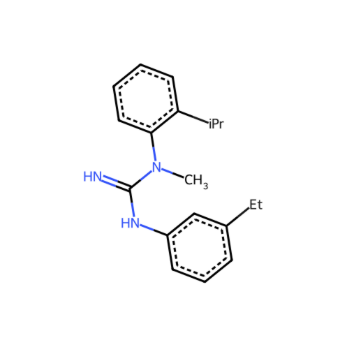 CCc1cccc(NC(=N)N(C)c2ccccc2C(C)C)c1